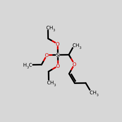 CC/C=C\OC(C)[Si](OCC)(OCC)OCC